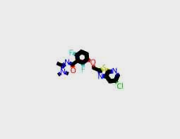 CC(=NC(=O)c1c(F)ccc(OCc2nc3cc(Cl)cnc3s2)c1F)N(C)C